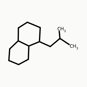 C[C](C)CC1CCCC2CCCCC21